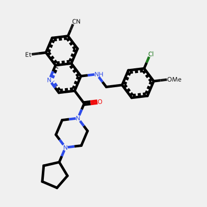 CCc1cc(C#N)cc2c(NCc3ccc(OC)c(Cl)c3)c(C(=O)N3CCN(C4CCCC4)CC3)cnc12